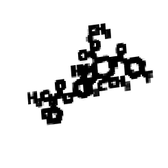 CCOC(=O)C1=CN(C(=O)c2ccc(F)cc2)CC(C)(C)c2c1[nH]c1cc(OC(=O)N(C)c3ccco3)ccc21